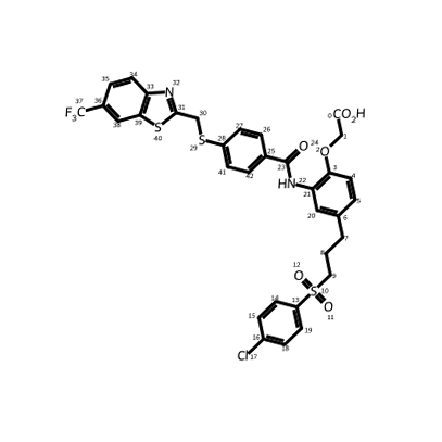 O=C(O)COc1ccc(CCCS(=O)(=O)c2ccc(Cl)cc2)cc1NC(=O)c1ccc(SCc2nc3ccc(C(F)(F)F)cc3s2)cc1